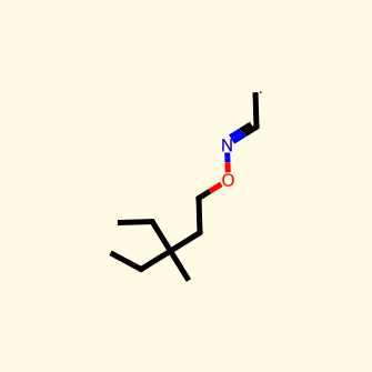 [CH2]C=NOCCC(C)(CC)CC